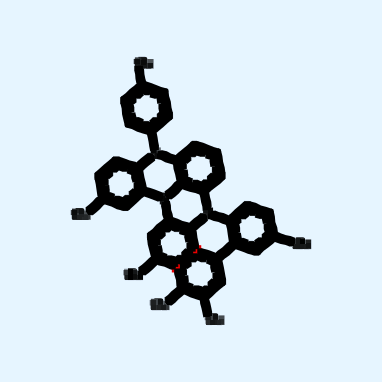 CC(C)(C)c1ccc(N2c3ccc(C(C)(C)C)cc3B3c4cc(C(C)(C)C)ccc4N(c4ccc(C(C)(C)C)cc4-c4ccc(C(C)(C)C)c(C(C)(C)C)c4)c4cccc2c43)cc1